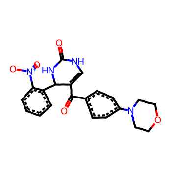 O=C1NC=C(C(=O)c2ccc(N3CCOCC3)cc2)C(c2ccccc2[N+](=O)[O-])N1